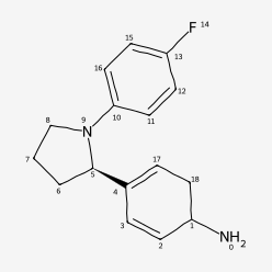 NC1C=CC([C@H]2CCCN2c2ccc(F)cc2)=CC1